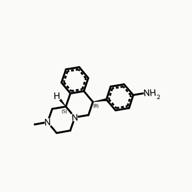 CN1CCN2C[C@H](c3ccc(N)cc3)c3ccccc3[C@H]2C1